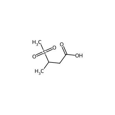 CC(CC(=O)O)S(C)(=O)=O